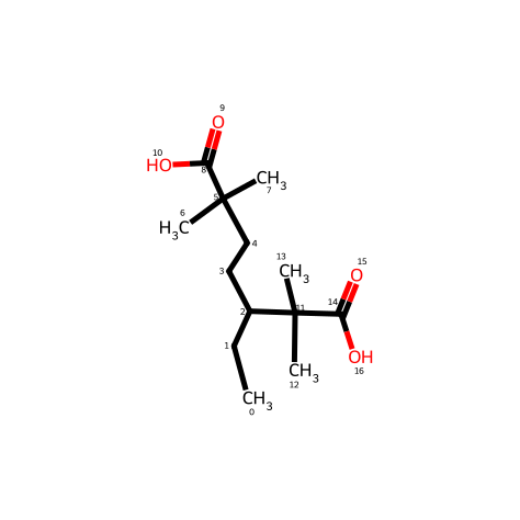 CCC(CCC(C)(C)C(=O)O)C(C)(C)C(=O)O